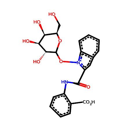 O=C(O)c1ccccc1NC(=O)c1cc2ccccc2n1OC1O[C@H](CO)[C@H](O)[C@H](O)[C@H]1O